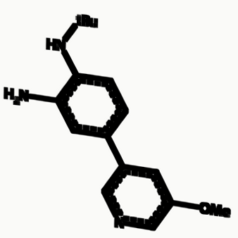 COc1cncc(-c2ccc(NC(C)(C)C)c(N)c2)c1